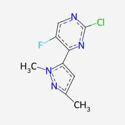 Cc1cc(-c2nc(Cl)ncc2F)n(C)n1